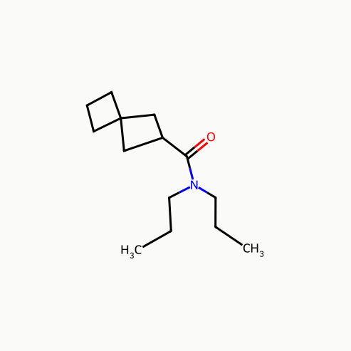 CCCN(CCC)C(=O)C1CC2(CCC2)C1